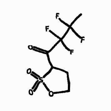 CC(F)(F)C(F)(F)C(=O)C1CCOS1(=O)=O